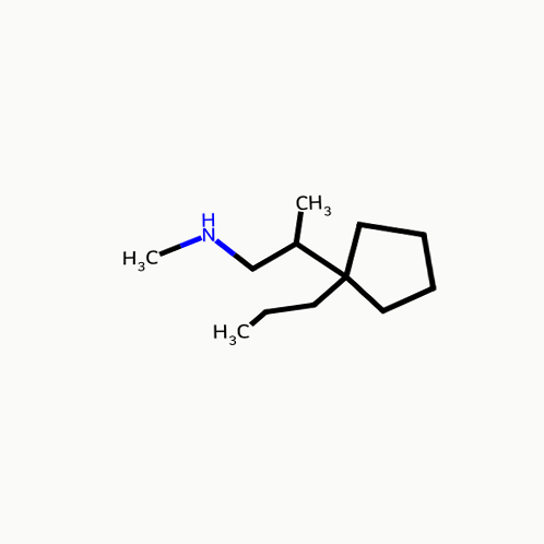 CCCC1(C(C)CNC)CCCC1